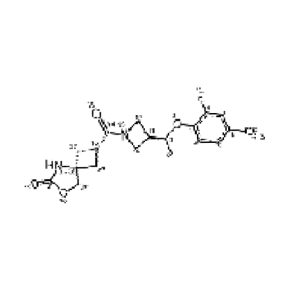 CC(Oc1ccc(C(F)(F)F)cc1F)C1CN(C(=O)[C@H]2C[C@@]3(COC(=O)N3)C2)C1